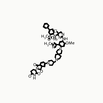 COc1cc(N2CCC3(CCN(CC4CCN(c5ccc6c(c5)C(=O)N(C5CCC(=O)NC5=O)C6=O)CC4)CC3)CC2)c(-c2cnn(C)c2)cc1Nc1ncc(Cl)c(Nc2ccc(-c3ccccc3)cc2P(C)(C)=O)n1